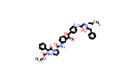 CCCN(CC(=O)Nc1ccc(-c2oc3ccc(NC(=O)[C@@H]4CCCN4C(=O)[C@H](NC(=O)OC)c4ccccc4)cc3c2Br)cc1)C(=O)Cc1ccccc1